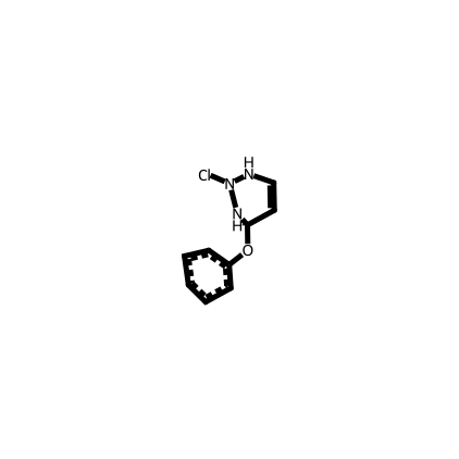 ClN1NC=C[C](Oc2ccccc2)N1